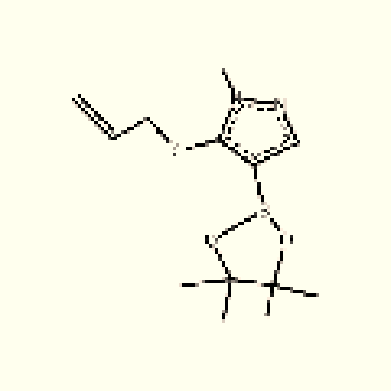 C=CCOc1c(B2OC(C)(C)C(C)(C)O2)cnn1C